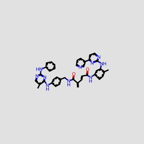 C=C(/C=C/C(=O)Nc1ccc(C)c(Nc2nccc(-c3cccnc3)n2)c1)C(=O)NCc1ccc(Nc2nc(Nc3ccccc3)ncc2C)cc1